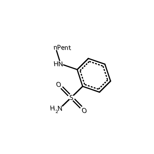 CCCCCNc1ccccc1S(N)(=O)=O